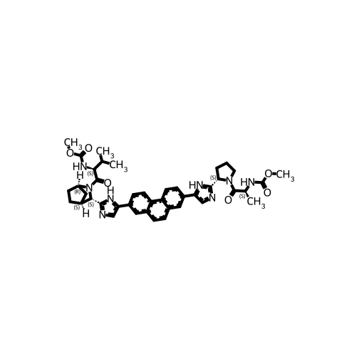 COC(=O)N[C@@H](C)C(=O)N1CCC[C@H]1c1ncc(-c2ccc3c(ccc4cc(-c5cnc([C@@H]6[C@H]7CC[C@H](C7)N6C(=O)[C@@H](NC(=O)OC)C(C)C)[nH]5)ccc43)c2)[nH]1